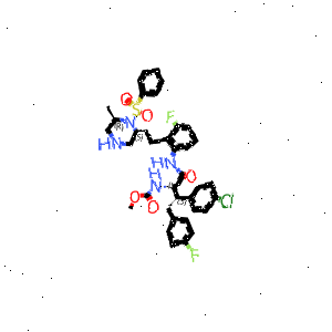 COC(=O)N[C@H](C(=O)Nc1cccc(F)c1CC[C@H]1CNC[C@@H](C)N1S(=O)(=O)c1ccccc1)[C@@H](Cc1ccc(F)cc1)c1ccc(Cl)cc1